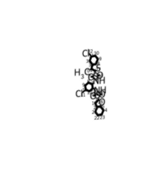 Cc1c(S(=O)(=O)Nc2ccc(Cl)cc2NS(=O)(=O)c2cc3ccccc3o2)sc2ccc(Cl)cc12